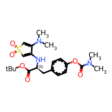 CN(C)C(=O)Oc1ccc(C[C@H](NC2=CS(=O)(=O)C=C2N(C)C)C(=O)OC(C)(C)C)cc1